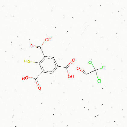 O=C(O)c1cc(C(=O)O)c(S)c(C(=O)O)c1.O=CC(Cl)(Cl)Cl